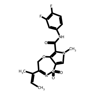 C/C=C(/C)C1=NS(=O)(=O)c2cn(C)c(C(=O)Nc3ccc(F)c(F)c3)c2OC1